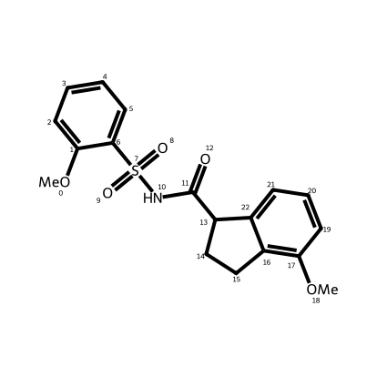 COc1ccccc1S(=O)(=O)NC(=O)C1CCc2c(OC)cccc21